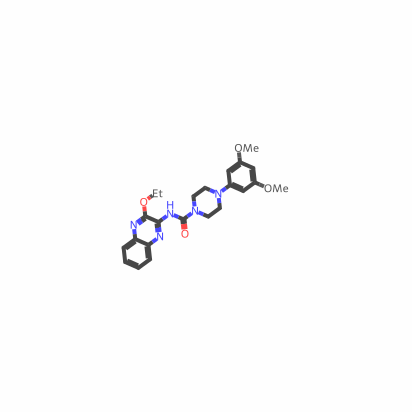 CCOc1nc2ccccc2nc1NC(=O)N1CCN(c2cc(OC)cc(OC)c2)CC1